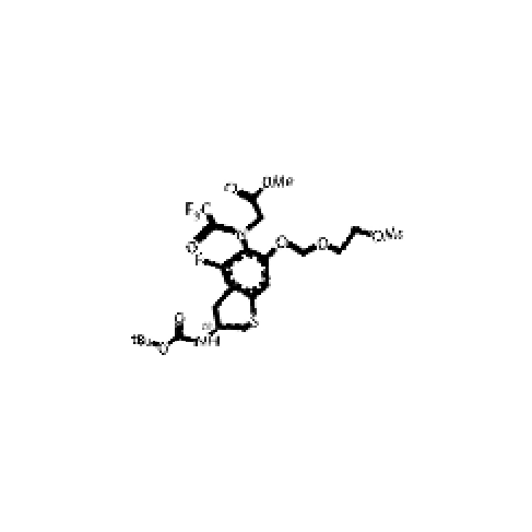 COCCOCOc1cc2c(c(F)c1N(CC(=O)OC)C(=O)C(F)(F)F)C[C@H](NC(=O)OC(C)(C)C)CS2